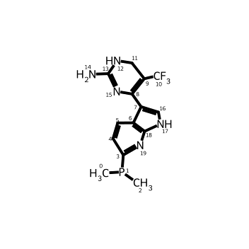 CP(C)c1ccc2c(C3=C(C(F)(F)F)CNC(N)=N3)c[nH]c2n1